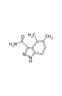 Cc1ccc2[nH]nc(C(N)=O)c2c1C